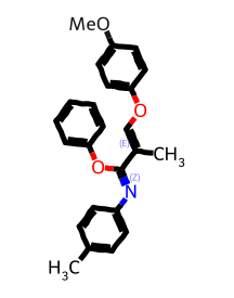 COc1ccc(O/C=C(C)/C(=N/c2ccc(C)cc2)Oc2ccccc2)cc1